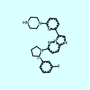 Fc1cccc([C@H]2CCCN2c2ccc3ncc(-c4cccc(N5CCNCC5)n4)n3n2)c1